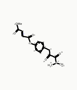 COC(=O)/C=C/C(=O)Oc1ccc(CC(=O)C(=O)N(C)C)cc1